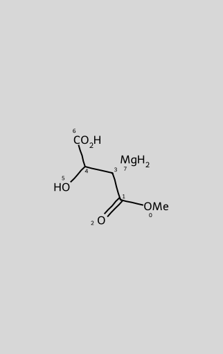 COC(=O)CC(O)C(=O)O.[MgH2]